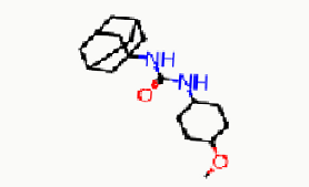 COC1CCC(NC(=O)NC23CC4CC(CC(C4)C2)C3)CC1